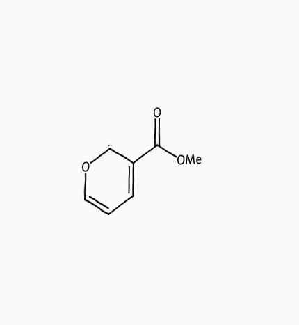 COC(=O)C1=CC=CO[C]1